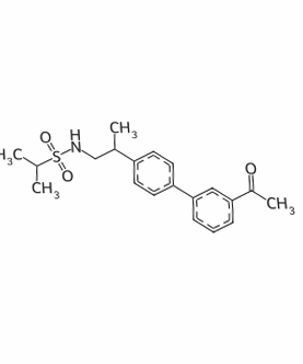 CC(=O)c1cccc(-c2ccc(C(C)CNS(=O)(=O)C(C)C)cc2)c1